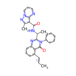 C/C=C/c1cccc2nc(C(C)NC(=O)c3c(C)nn4cccnc34)n(-c3ccccc3)c(=O)c12